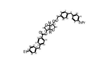 CCCc1ccc(Cc2ccc(COO[C@H]3CO[C@@H]4C(OC(=O)c5ccc(Cc6ccc(CC)cc6)cc5)CO[C@H]34)cc2)cc1